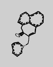 O=C1C(C[n+]2ccccc2)=Cc2cccc3cccc1c23